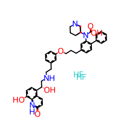 F.F.O=C(O)N(c1cc(CCCOc2cccc(CCNC[C@H](O)c3ccc(O)c4[nH]c(=O)ccc34)c2)ccc1-c1ccccc1)C1CN2CCC1CC2